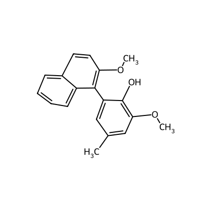 COc1cc(C)cc(-c2c(OC)ccc3ccccc23)c1O